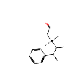 CC(c1ccccc1)C(C)C(C)(C)CC=O